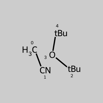 CC#N.CC(C)(C)OC(C)(C)C